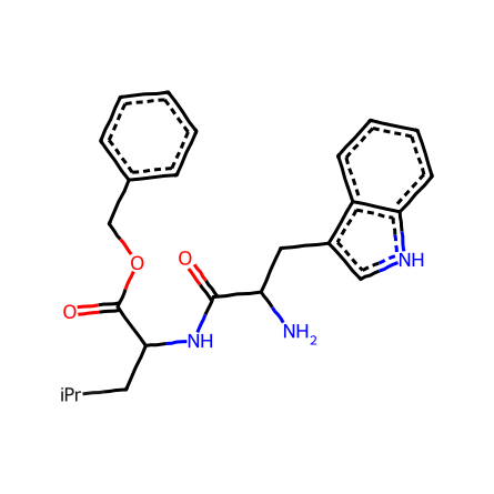 CC(C)CC(NC(=O)C(N)Cc1c[nH]c2ccccc12)C(=O)OCc1ccccc1